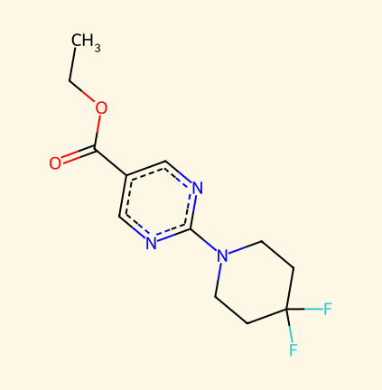 CCOC(=O)c1cnc(N2CCC(F)(F)CC2)nc1